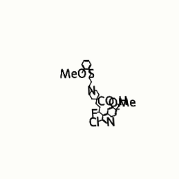 COc1ccc2ncc(Cl)c([C@@H](F)CCC3(C(=O)O)CCN(CCCSc4ccccc4OC)CC3)c2c1